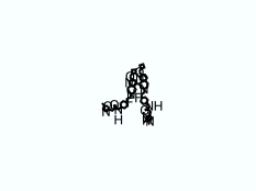 Cc1cnc(CC(=O)NC2CCC(F)(CCN3CCc4nc(OC5CCC5)cc(C5CN(CCC6(F)CCC(NC(=O)Cc7cnn(C)n7)CC6)CCc6ccc(OC7CCC7)nc65)c4CC3)CC2)o1